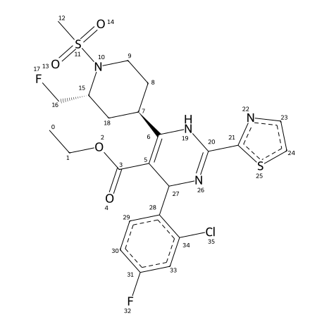 CCOC(=O)C1=C([C@@H]2CCN(S(C)(=O)=O)[C@@H](CF)C2)NC(c2nccs2)=NC1c1ccc(F)cc1Cl